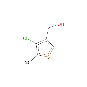 N#Cc1scc(CO)c1Cl